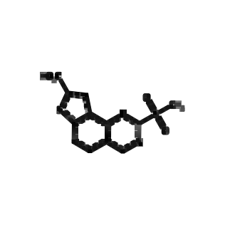 CS(=O)(=O)c1ncc2ccc3sc(C(=O)O)cc3c2n1